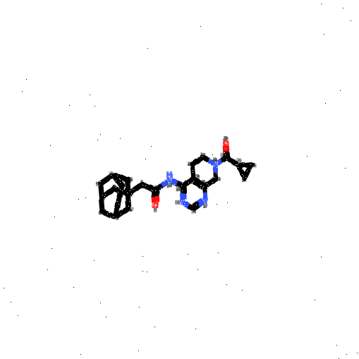 O=C(CC12CC3CC(CC(C3)C1)C2)Nc1ncnc2c1CCN(C(=O)C1CC1)C2